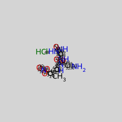 Cc1ccc(S(=O)(=O)N2CCOCC2)cc1-c1cccc(C[C@H](NC(=O)[C@H]2CC[C@H](CN)CC2)C(=O)Nc2ccc3[nH]c(=O)[nH]c3c2)c1.Cl